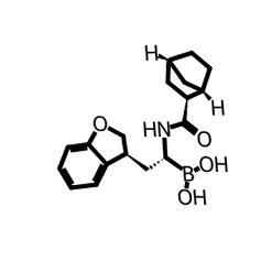 O=C(N[C@@H](C[C@@H]1COc2ccccc21)B(O)O)[C@H]1C[C@@H]2CC[C@H]1C2